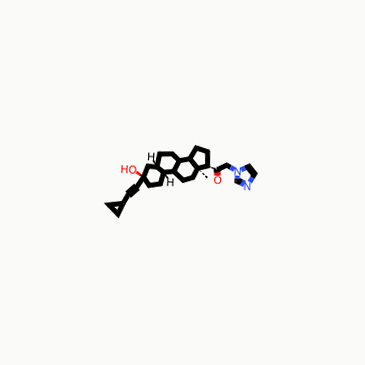 C[C@]12CCC3C(CC[C@@H]4C[C@@](O)(C#CC5CC5)CC[C@H]34)C1CC[C@@H]2C(=O)Cn1ccnc1